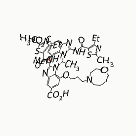 CCc1nc(C)sc1C(=O)Nc1nc2cc(C(=O)O)cc(OC)c2n1C(C)n1c(NC(=O)c2sc(C)nc2CC)nc2cc(C(=O)O)cc(OCCCN3CCCCOCC3)c21